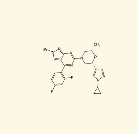 CC(C)n1cc2c(-c3ccc(F)cc3F)nc(N3C[C@@H](c4cnn(C5CC5)c4)O[C@@H](C)C3)nc2n1